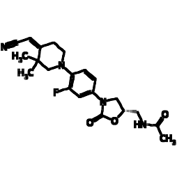 CC(=O)NC[C@H]1CN(c2ccc(N3CC/C(=C/C#N)C(C)(C)C3)c(F)c2)C(=O)O1